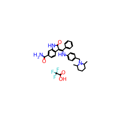 CC1CCCC(C)N1Cc1ccc(NC(=C2C(=O)Nc3cc(C(N)=O)ccc32)c2ccccc2)cc1.O=C(O)C(F)(F)F